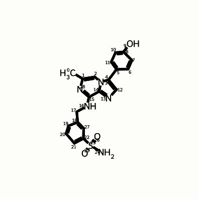 Cc1cn2c(-c3ccc(O)cc3)cnc2c(NCc2cccc(S(N)(=O)=O)c2)n1